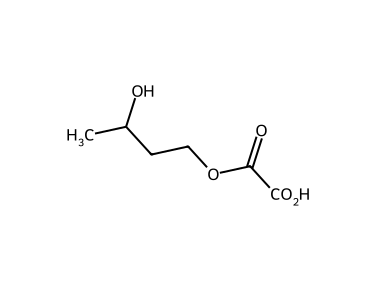 CC(O)CCOC(=O)C(=O)O